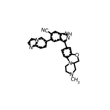 CN1CCN2c3ccc(-c4n[nH]c5cc(C#N)c(-c6ccc7nccn7c6)cc45)cc3OCC2C1